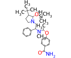 CC(Oc1ccc(C(N)=O)cc1)N(C)C(CN1CCC(C(C)(C)C)C1O[SiH](C)C)c1ccccc1